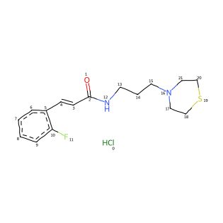 Cl.O=C(/C=C/c1ccccc1F)NCCCN1CCSCC1